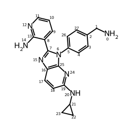 NCc1ccc(-n2c(-c3cccnc3N)nc3ccc(NC4CC4)nc32)cc1